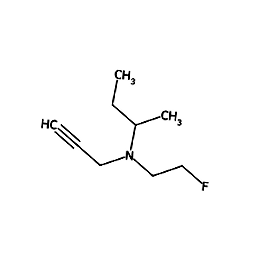 C#CCN(CCF)C(C)CC